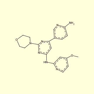 COc1ccnc(Nc2cc(-c3ccc(N)nc3)nc(N3CCOCC3)n2)c1